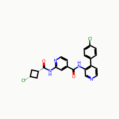 O=C(Nc1cnccc1-c1ccc(Cl)cc1)c1ccnc(NC(=O)[C@H]2C[C@@H](Cl)C2)c1